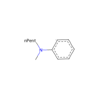 CCCCCN(C)c1[c]cccc1